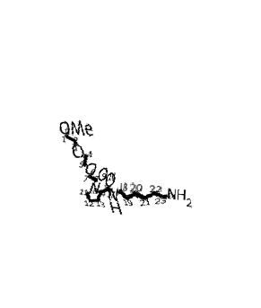 COCCOCCOCC(=O)N1CCCC1C(=O)NCCCCCCN